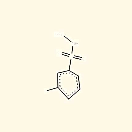 CCCCNS(=O)(=O)c1cccc(I)c1